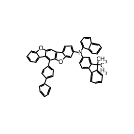 CC1(C)c2ccccc2-c2ccc(N(c3ccc4c(c3)oc3c(-c5ccc(-c6ccccc6)cc5)c5c(cc34)oc3ccccc35)c3cccc4ccccc34)cc21